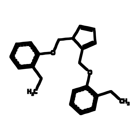 CCc1ccccc1OC[C]1C=CC=C1COc1ccccc1CC